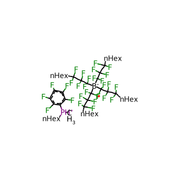 CCCCCCC(F)(F)C(F)(F)C(F)(F)[B-](C(F)(F)C(F)(F)C(F)(F)CCCCCC)(C(F)(F)C(F)(F)C(F)(F)CCCCCC)C(F)(F)C(F)(F)C(F)(F)CCCCCC.CCCCCC[PH+](C)c1c(F)c(F)c(F)c(F)c1F